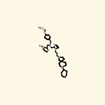 O=C(O)COc1ccc(CN(Cc2ncc[nH]2)Cc2nccn2CCCN2CCC3(CCN(C4CCCCC4)CC3)C2)cc1